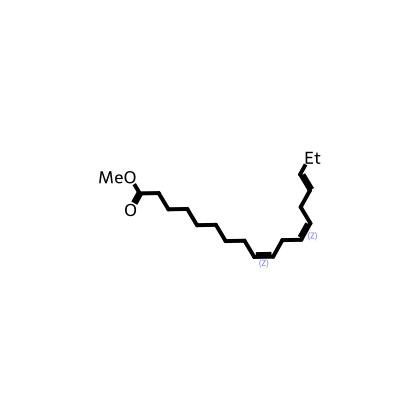 CCC=CC/C=C\C/C=C\CCCCCCCC(=O)OC